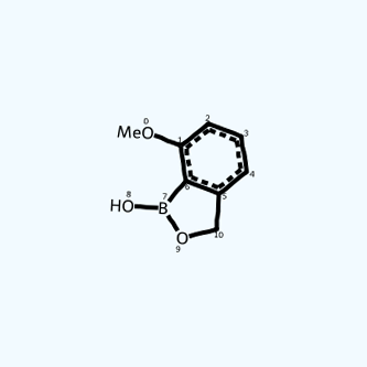 COc1cccc2c1B(O)OC2